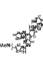 CNCCc1ccc(Nc2nccc(-c3c(-c4cccc(NC(=O)c5c(F)cccc5F)c4)nc4ccccn34)n2)cc1